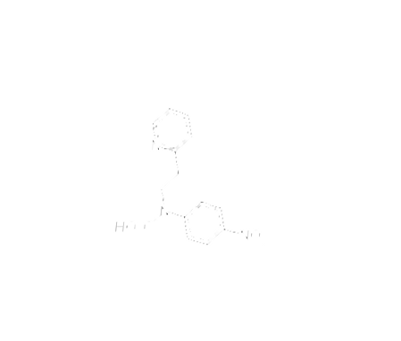 O=C(O)N(CCc1ccccn1)c1ccc([N+](=O)[O-])cc1